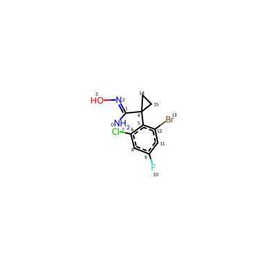 N/C(=N\O)C1(c2c(Cl)cc(F)cc2Br)CC1